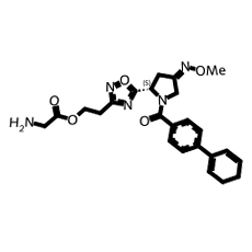 CON=C1C[C@@H](c2nc(CCOC(=O)CN)no2)N(C(=O)c2ccc(C3=CCCC=C3)cc2)C1